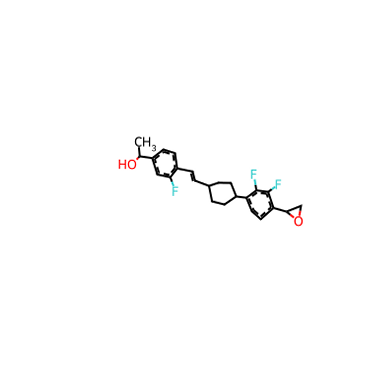 CC(O)c1ccc(/C=C/C2CCC(c3ccc(C4CO4)c(F)c3F)CC2)c(F)c1